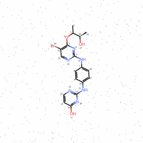 CC(Oc1nc(Nc2ccc(Nc3nccc(O)n3)cc2)ncc1Br)[C@@H](C)O